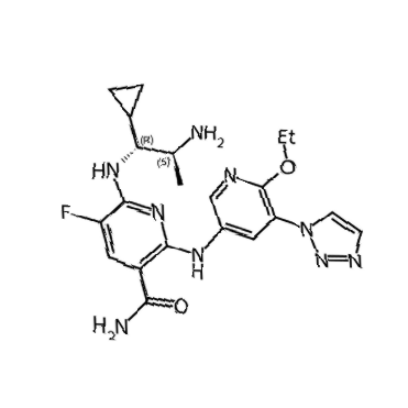 CCOc1ncc(Nc2nc(N[C@H](C3CC3)[C@H](C)N)c(F)cc2C(N)=O)cc1-n1ccnn1